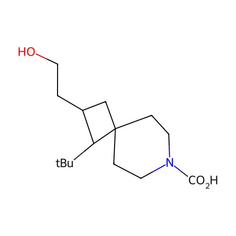 CC(C)(C)C1C(CCO)CC12CCN(C(=O)O)CC2